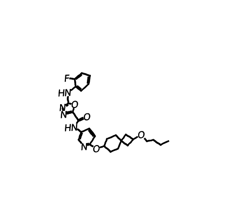 CCCCOC1CC2(CCC(Oc3ccc(NC(=O)c4nnc(Nc5ccccc5F)o4)cn3)CC2)C1